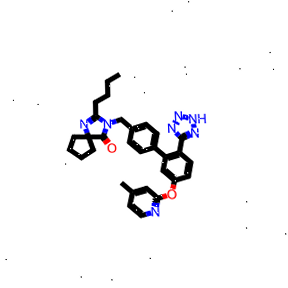 CCCCC1=NC2(CCCC2)C(=O)N1Cc1ccc(-c2cc(Oc3cc(C)ccn3)ccc2-c2nn[nH]n2)cc1